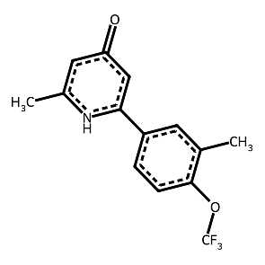 Cc1cc(=O)cc(-c2ccc(OC(F)(F)F)c(C)c2)[nH]1